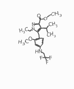 CCOC(=O)c1nn(CC)c(-c2ccc(NCC(F)(F)F)cc2OC)c1C(C)C